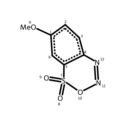 COc1ccc2c(c1)S(=O)(=O)ON=N2